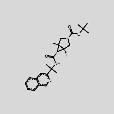 CC(C)(C)OC(=O)N1C[C@@H]2[C@H](C1)[C@H]2C(=O)NC(C)(C)c1cc2ccccc2cn1